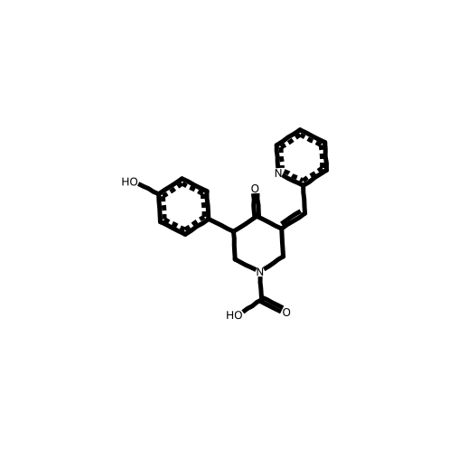 O=C1/C(=C\c2ccccn2)CN(C(=O)O)CC1c1ccc(O)cc1